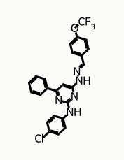 FC(F)(F)Oc1ccc(C=NNc2cc(-c3ccccc3)nc(Nc3ccc(Cl)cc3)n2)cc1